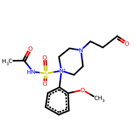 COc1ccccc1[N+]1(S(=O)(=O)NC(C)=O)CCN(CC[C]=O)CC1